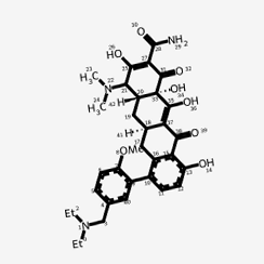 CCN(CC)Cc1ccc(OC)c(-c2ccc(O)c3c2C[C@H]2C[C@@H]4C(N(C)C)C(O)=C(C(N)=O)C(=O)[C@@]4(O)C(O)=C2C3=O)c1